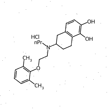 CCCN(CCOc1c(C)cccc1C)C1CCc2c(ccc(O)c2O)C1.Cl